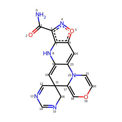 NC(=O)c1noc2c1NC1=CC3(C=NC=NC3)C3=COC=CN3C1=C2